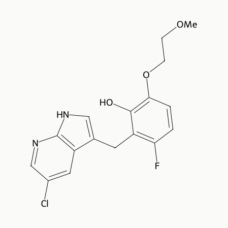 COCCOc1ccc(F)c(Cc2c[nH]c3ncc(Cl)cc23)c1O